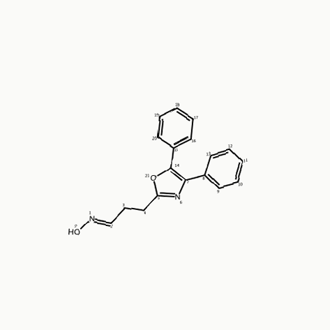 O/N=C/CCc1nc(-c2ccccc2)c(-c2ccccc2)o1